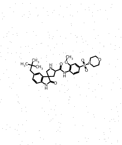 COc1cc(S(=O)(=O)N2CCOCC2)ccc1NC(=O)C1CC2(CN1)C(=O)Nc1ccc(CC(C)(C)C)cc12